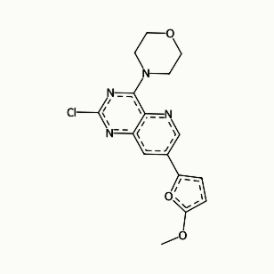 COc1ccc(-c2cnc3c(N4CCOCC4)nc(Cl)nc3c2)o1